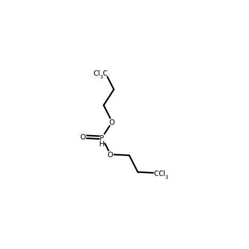 O=[PH](OCCC(Cl)(Cl)Cl)OCCC(Cl)(Cl)Cl